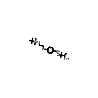 CC(O)C(C)(C)OBc1ccc(NCCO[Si](C)(C)C(C)(C)C)cc1